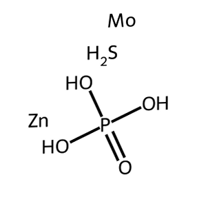 O=P(O)(O)O.S.[Mo].[Zn]